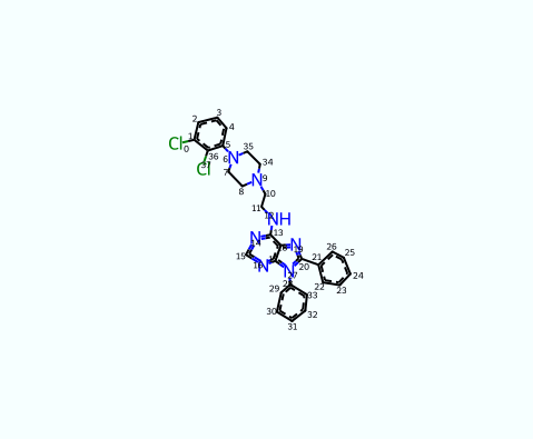 Clc1cccc(N2CCN(CCNc3ncnc4c3nc(-c3ccccc3)n4-c3ccccc3)CC2)c1Cl